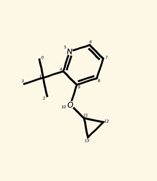 CC(C)(C)c1ncccc1OC1CC1